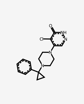 O=c1[nH]ncc(N2CCN(C3(c4ccccc4)CC3)CC2)c1Cl